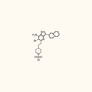 CCS(=O)(=O)N1CCC(CCc2nc3c(-c4ccc5ccccc5c4)cnn3c(N)c2Br)CC1